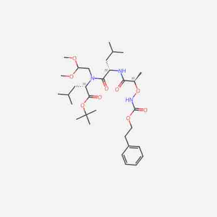 COC(CN(C(=O)[C@H](CC(C)C)NC(=O)[C@@H](C)ONC(=O)OCCc1ccccc1)[C@@H](CC(C)C)C(=O)OC(C)(C)C)OC